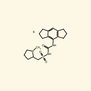 CN1CCCC1CS(=O)(=O)NC(=O)Nc1c2c(cc3c1CCC3)CCC2.[K]